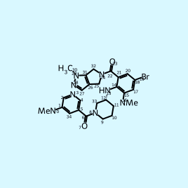 CNc1cncc(C(=O)N2CCC[C@@H](Nc3c(NC)cc(Br)cc3C(=O)N3Cc4cnn(C)c4C3)C2)c1